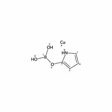 OB(O)Oc1ccc[nH]1.[Cu]